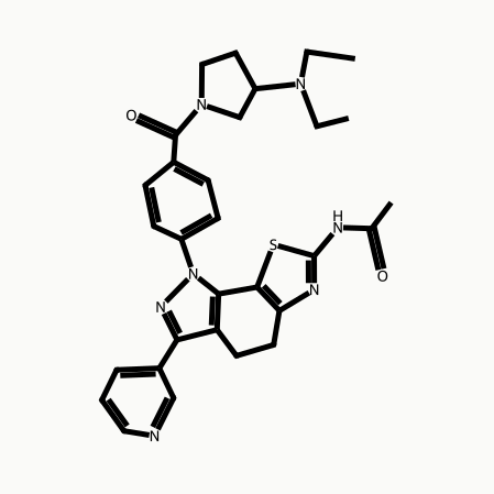 CCN(CC)C1CCN(C(=O)c2ccc(-n3nc(-c4cccnc4)c4c3-c3sc(NC(C)=O)nc3CC4)cc2)C1